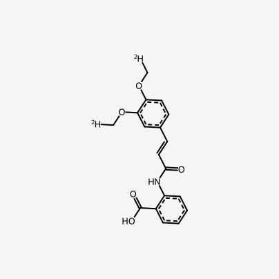 [2H]COc1ccc(C=CC(=O)Nc2ccccc2C(=O)O)cc1OC[2H]